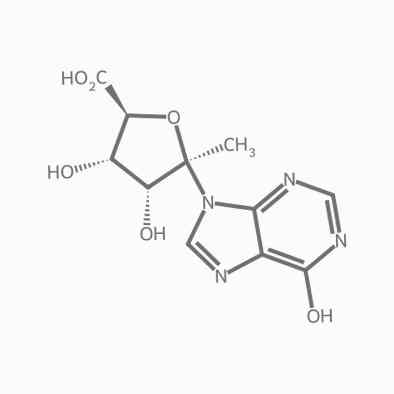 C[C@@]1(n2cnc3c(O)ncnc32)O[C@H](C(=O)O)[C@@H](O)[C@H]1O